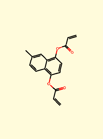 C=CC(=O)Oc1ccc(OC(=O)C=C)c2cc(C)ccc12